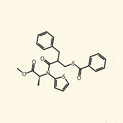 COC(=O)[C@H](C)N(C(=O)C(CSC(=O)c1ccccc1)Cc1ccccc1)c1cccs1